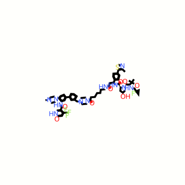 Cc1ncsc1-c1ccc(C(CC(=O)NCCCCCCC(=O)N2CCN(Cc3cccc(-c4ccc(N5CCN(C)CC5)c(NC(=O)c5c[nH]c(=O)cc5C(F)(F)F)c4)c3)CC2)NC(=O)[C@@H]2C[C@@H](O)CN2C(=O)C(NC(=O)C2(F)CC2)C(C)(C)C)cc1